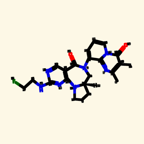 Cc1nc2c(N3C[C@@H]4CCCN4c4nc(NCCF)ncc4C3=O)cccn2c(=O)c1C